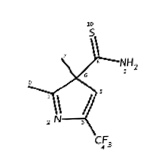 CC1=NC(C(F)(F)F)=CC1(C)C(N)=S